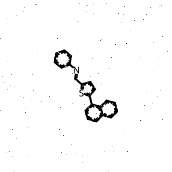 C(=N\c1ccccc1)/c1ccc(-c2cccc3ccccc23)s1